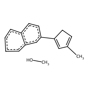 CC1=CCC(c2ccc3ccccc3c2)=C1.CO